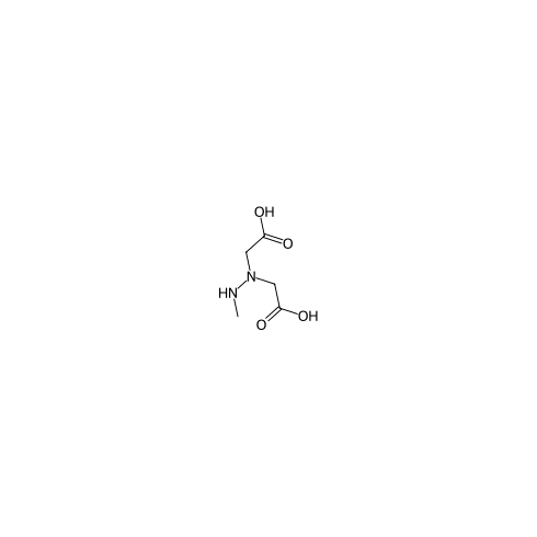 CNN(CC(=O)O)CC(=O)O